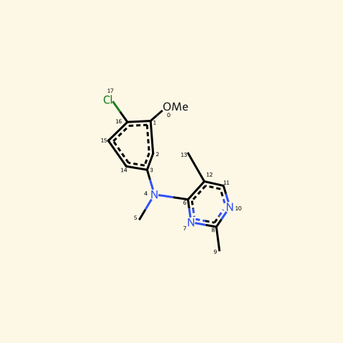 COc1cc(N(C)c2nc(C)ncc2C)ccc1Cl